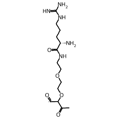 CC(=O)C([C]=O)OCCOCCNC(=O)[C@@H](N)CCCNC(=N)N